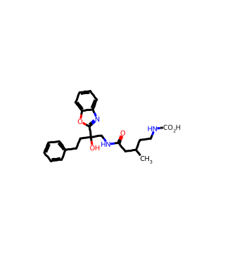 CC(CCNC(=O)O)CC(=O)NCC(O)(CCc1ccccc1)c1nc2ccccc2o1